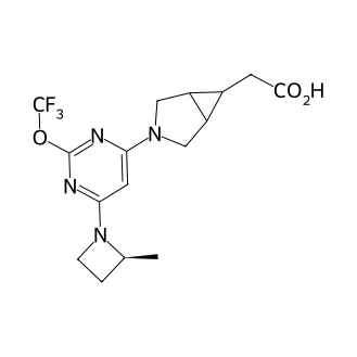 C[C@H]1CCN1c1cc(N2CC3C(CC(=O)O)C3C2)nc(OC(F)(F)F)n1